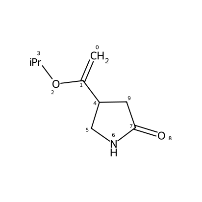 C=C(OC(C)C)C1CNC(=O)C1